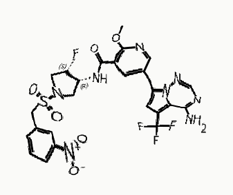 COc1ncc(-c2cc(C(F)(F)F)c3c(N)ncnn23)cc1C(=O)N[C@@H]1CN(S(=O)(=O)Cc2cccc([N+](=O)[O-])c2)C[C@@H]1F